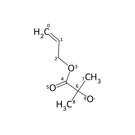 C=CCOC(=O)C(C)(C)[O]